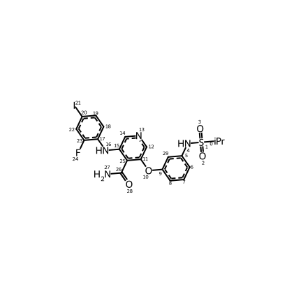 CC(C)S(=O)(=O)Nc1cccc(Oc2cncc(Nc3ccc(I)cc3F)c2C(N)=O)c1